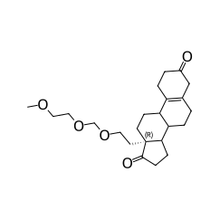 COCCOCOCC[C@]12CCC3C4=C(CCC3C1CCC2=O)CC(=O)CC4